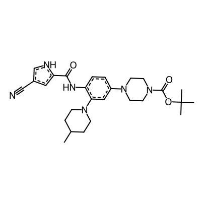 CC1CCN(c2cc(N3CCN(C(=O)OC(C)(C)C)CC3)ccc2NC(=O)c2cc(C#N)c[nH]2)CC1